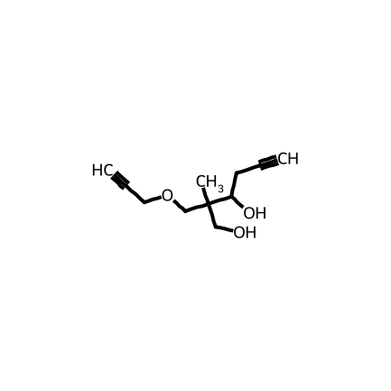 C#CCOCC(C)(CO)C(O)CC#C